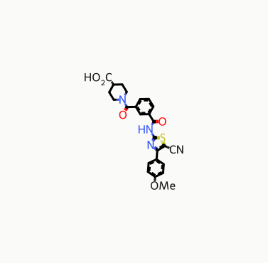 COc1ccc(-c2nc(NC(=O)c3cccc(C(=O)N4CCC(C(=O)O)CC4)c3)sc2C#N)cc1